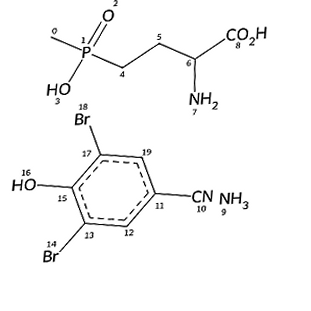 CP(=O)(O)CCC(N)C(=O)O.N.N#Cc1cc(Br)c(O)c(Br)c1